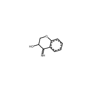 N=C1c2ccccc2OCC1O